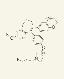 FCCCN1CC[C@H](Oc2ccc(C3=C(c4ccc5c(c4)NCCO5)CCCc4cc(OF)ccc43)cc2)C1